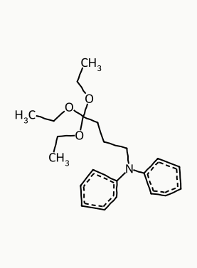 CCOC(CCCN(c1ccccc1)c1ccccc1)(OCC)OCC